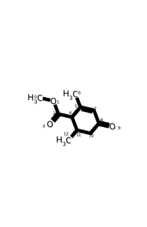 COC(=O)C1C(C)=CC(=O)CC1C